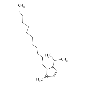 CCCCCCCCCCCCC1N(C)C=CN1C(C)C